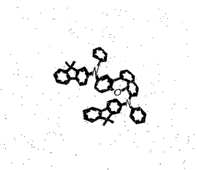 CC1(C)c2ccccc2-c2ccc(N(c3ccccc3)c3ccc4c(c3)-c3cccc5ccc(N(c6ccccc6)c6ccc7c(c6)C(C)(C)c6ccccc6-7)c(c35)O4)cc21